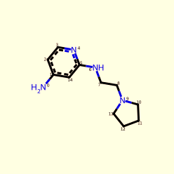 Nc1ccnc(NCCN2CCCC2)c1